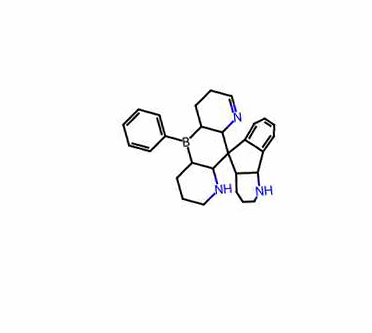 C1=NC2C(CC1)B(c1ccccc1)C1CCCNC1C21c2ccccc2C2NCCCC21